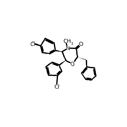 CN1C(=O)[C@H](Cc2ccccc2)O[C@@H](c2cccc(Cl)c2)[C@H]1c1ccc(Cl)cc1